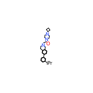 CC(C)c1cccc(-c2ccc3c(c2)CCN(CC(=O)N2CCN(C4CCC4)CC2)C3)c1